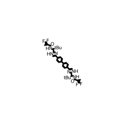 CC(C)(C)C(NC(=O)C1CC1(F)F)c1nc(-c2ccc(-c3ccc(-c4c[nH]c(C(NC(=O)C5CC5(F)F)C(C)(C)C)n4)cc3)cc2)c[nH]1